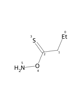 CCCC(=S)ON